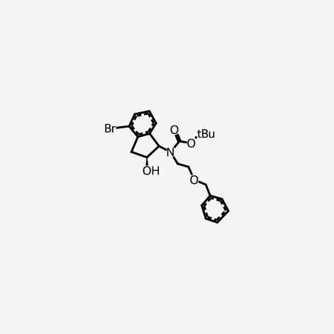 CC(C)(C)OC(=O)N(CCOCc1ccccc1)C1c2cccc(Br)c2C[C@@H]1O